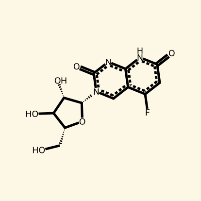 O=c1cc(F)c2cn([C@@H]3O[C@H](CO)C(O)[C@@H]3O)c(=O)nc2[nH]1